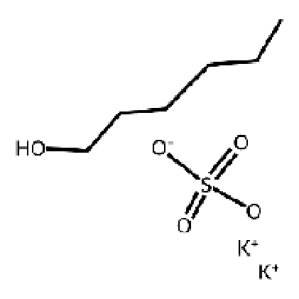 CCCCCCO.O=S(=O)([O-])[O-].[K+].[K+]